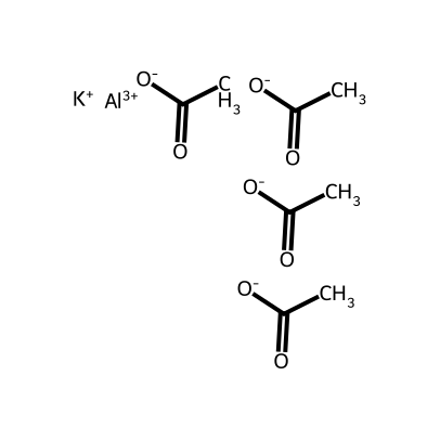 CC(=O)[O-].CC(=O)[O-].CC(=O)[O-].CC(=O)[O-].[Al+3].[K+]